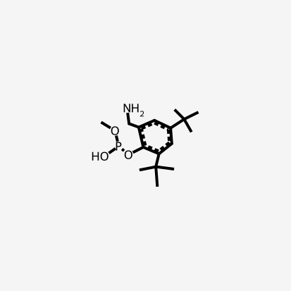 COP(O)Oc1c(CN)cc(C(C)(C)C)cc1C(C)(C)C